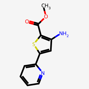 COC(=O)c1sc(-c2ccccn2)cc1N